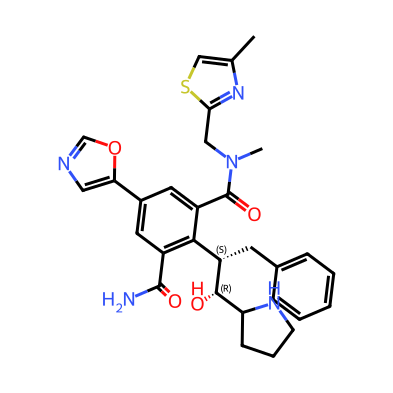 Cc1csc(CN(C)C(=O)c2cc(-c3cnco3)cc(C(N)=O)c2[C@H](Cc2ccccc2)[C@@H](O)C2CCCN2)n1